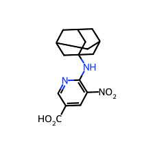 O=C(O)c1cnc(NC23CC4CC(CC(C4)C2)C3)c([N+](=O)[O-])c1